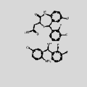 Nc1ccc(Cl)cc1C(O)c1cccc(F)c1F.O=C(O)CC1SC(c2cccc(F)c2F)c2cc(Cl)ccc2NC1=O